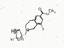 COC(=O)c1cc(F)c2c(c1)CCN(C[C@]13CN[C@H](CO1)C3)C2